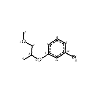 COCC(C)Oc1cccc(Br)c1